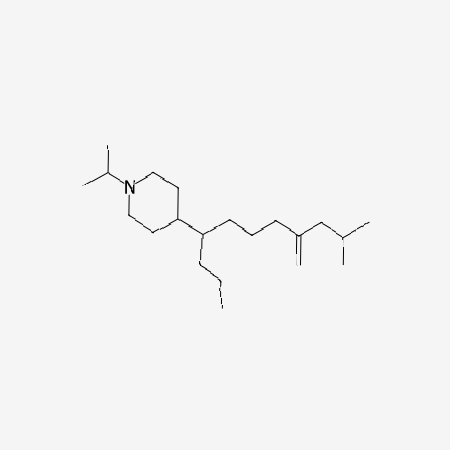 C=C(CCCC(CCC)C1CCN(C(C)C)CC1)CC(C)C